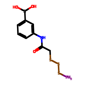 O=C(CSSSP)Nc1cccc(B(O)O)c1